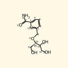 NC(=O)c1cccc(CO[C@H](CO)C(O)CO)n1